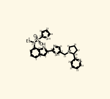 CCN(c1cccc2cc(-c3ncc(CN4CCCC4c4ccccn4)s3)[nH]c12)S(=O)(=O)c1cccs1